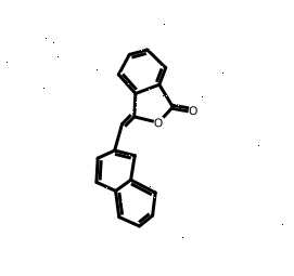 O=C1OC(=Cc2ccc3ccccc3c2)c2ccccc21